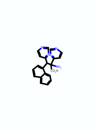 NC(C(=O)O)(c1ccncn1)C(c1ccncn1)c1cccc2ccccc12